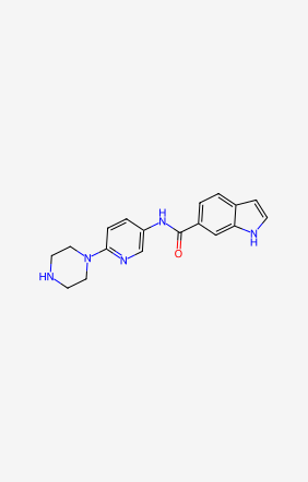 O=C(Nc1ccc(N2CCNCC2)nc1)c1ccc2cc[nH]c2c1